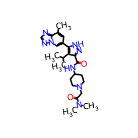 Cc1cc(-c2[nH]nc(C(=O)NC3CCN(CC(=O)N(C)C)CC3)c2C(C)C)cn2ncnc12